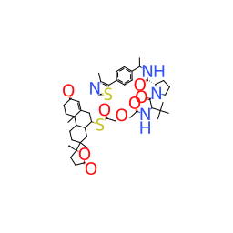 Cc1ncsc1-c1ccc(C(C)NC(=O)[C@@H]2CCCN2C(=O)C(NC(=O)COCC(=O)S[C@@H]2CC3=CC(=O)CCC3(C)C3CCC(C)([C@@]4(C)CCC(=O)O4)CC32)C(C)(C)C)cc1